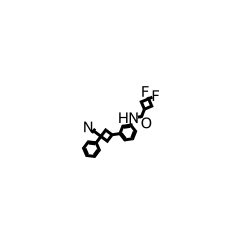 N#CC1(c2ccccc2)CC(c2cccc(NC(=O)C3CC(F)(F)C3)c2)C1